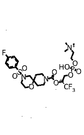 C[N+](C)(C)CCOP(=O)(O)OC[C@@H](OC(=O)N1CCC2(CC1)CN(S(=O)(=O)c1ccc(F)cc1)CCO2)C(F)(F)F